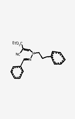 CCOC(=O)/C(C#N)=C/N(CCc1ccccc1)/N=C/c1ccccc1